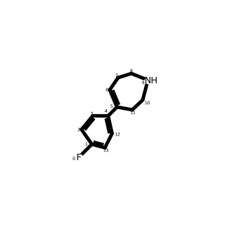 Fc1ccc(C2=CCCNCC2)cc1